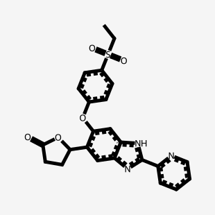 CCS(=O)(=O)c1ccc(Oc2cc3[nH]c(-c4ccccn4)nc3cc2C2CCC(=O)O2)cc1